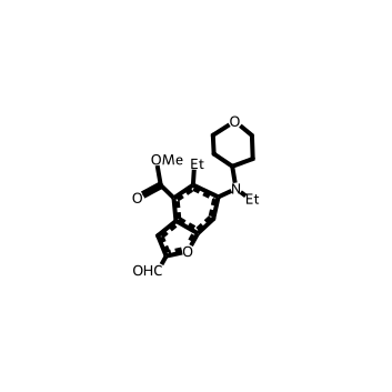 CCc1c(N(CC)C2CCOCC2)cc2oc(C=O)cc2c1C(=O)OC